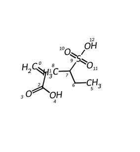 C=CC(=O)O.CCC(C)S(=O)(=O)O